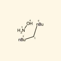 CCCCCCCCC.NO